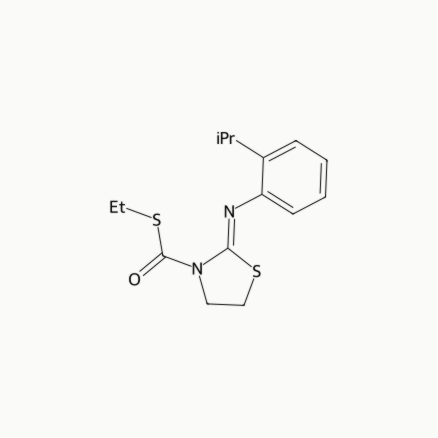 CCSC(=O)N1CCSC1=Nc1ccccc1C(C)C